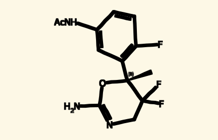 CC(=O)Nc1ccc(F)c([C@@]2(C)OC(N)=NCC2(F)F)c1